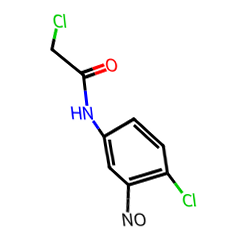 O=Nc1cc(NC(=O)CCl)ccc1Cl